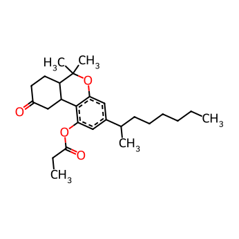 CCCCCCC(C)c1cc(OC(=O)CC)c2c(c1)OC(C)(C)C1CCC(=O)CC21